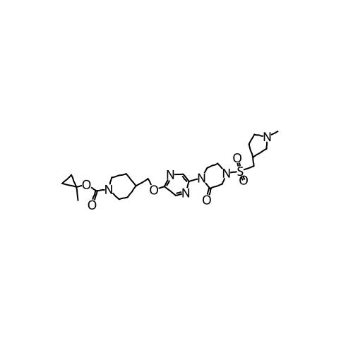 CN1CCC(CS(=O)(=O)N2CCN(c3cnc(OCC4CCN(C(=O)OC5(C)CC5)CC4)cn3)C(=O)C2)C1